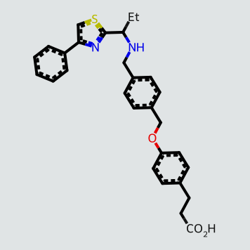 CCC(NCc1ccc(COc2ccc(CCC(=O)O)cc2)cc1)c1nc(-c2ccccc2)cs1